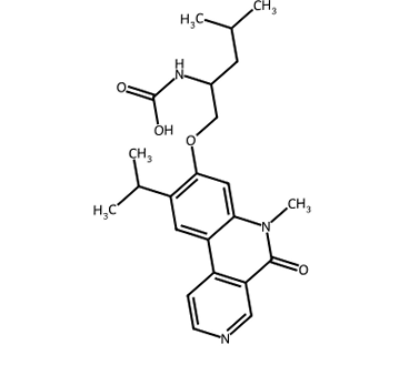 CC(C)CC(COc1cc2c(cc1C(C)C)c1ccncc1c(=O)n2C)NC(=O)O